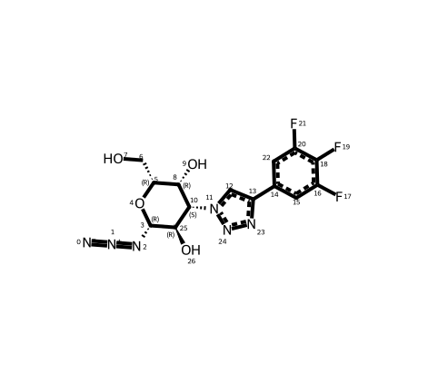 [N-]=[N+]=N[C@@H]1O[C@H](CO)[C@H](O)[C@H](n2cc(-c3cc(F)c(F)c(F)c3)nn2)[C@H]1O